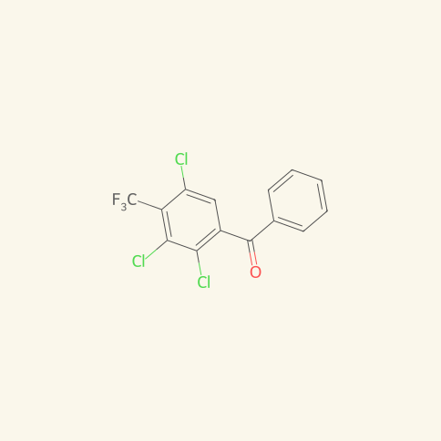 O=C(c1ccccc1)c1cc(Cl)c(C(F)(F)F)c(Cl)c1Cl